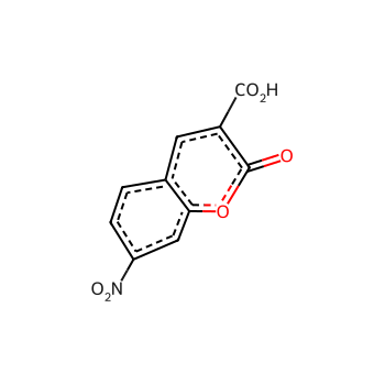 O=C(O)c1cc2ccc([N+](=O)[O-])cc2oc1=O